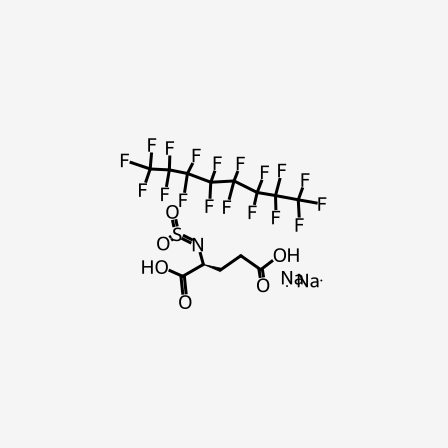 FC(F)(F)C(F)(F)C(F)(F)C(F)(F)C(F)(F)C(F)(F)C(F)(F)C(F)(F)F.O=C(O)CC[C@H](N=S(=O)=O)C(=O)O.[Na].[Na]